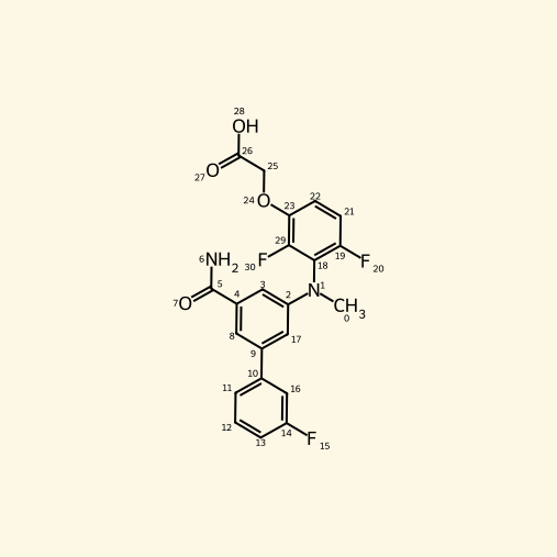 CN(c1cc(C(N)=O)cc(-c2cccc(F)c2)c1)c1c(F)ccc(OCC(=O)O)c1F